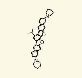 CC(C)c1cc2c3cc4ccc(N5CCCCC5)cc4cc3oc2c2oc3cc4cc(N5CCCCC5)ccc4cc3c12